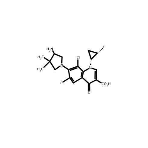 CC1(C)CN(c2c(F)cc3c(=O)c(C(=O)O)cn([C@@H]4C[C@@H]4F)c3c2Cl)CC1N